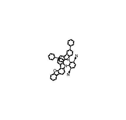 N#Cc1ccc(C#N)c(-n2c3ccccc3c3c4oc5ccccc5c4ccc32)c1-n1c2ccc(-c3ccccc3)cc2c2cc(-c3ccccc3)ccc21